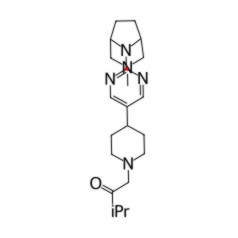 CC(C)C(=O)CN1CCC(c2cnc(N3C4CCC3CN(C)C4)nc2)CC1